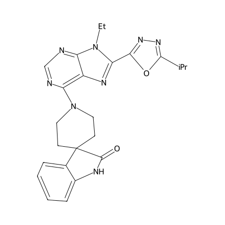 CCn1c(-c2nnc(C(C)C)o2)nc2c(N3CCC4(CC3)C(=O)Nc3ccccc34)ncnc21